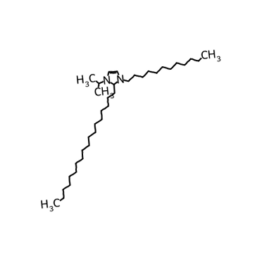 CCCCCCCCCCCCCCCCCCC1N(CCCCCCCCCCCC)C=CN1C(C)C